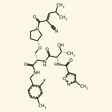 Cc1ccc(CNC(=O)[C@H](CO[C@@H]2CCN(C(=O)/C(C#N)=C/C(C)C)C2)NC(=O)[C@@H](NC(=O)c2cc(C)no2)[C@@H](C)O)c(F)c1